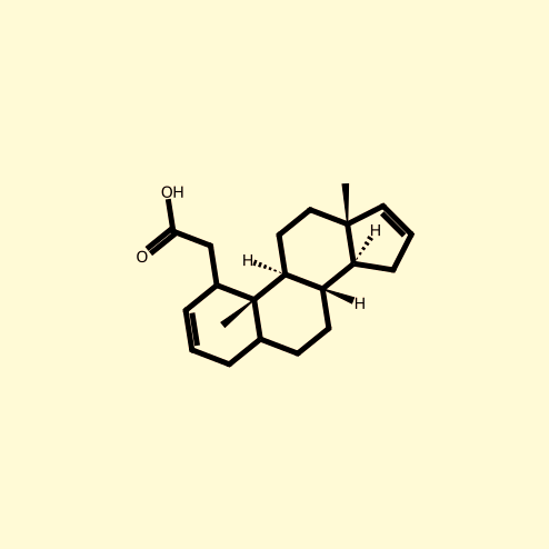 C[C@]12C(CC(=O)O)C=CCC1CC[C@@H]1[C@@H]2CC[C@]2(C)C=CC[C@@H]12